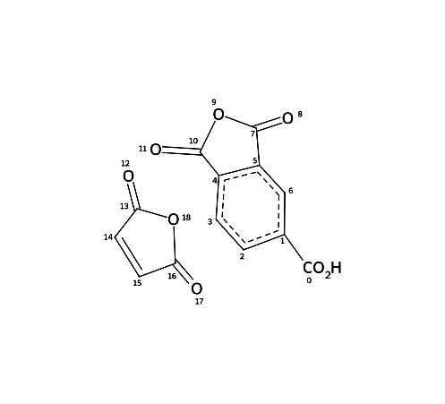 O=C(O)c1ccc2c(c1)C(=O)OC2=O.O=C1C=CC(=O)O1